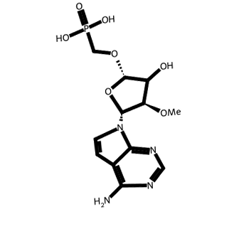 CO[C@@H]1C(O)[C@@H](OCP(=O)(O)O)O[C@H]1n1ccc2c(N)ncnc21